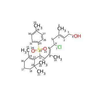 CC(=CCO)CC(Cl)C=C(C)CC(C1=C(C)CCCC1(C)C)S(=O)(=O)c1ccc(C)cc1